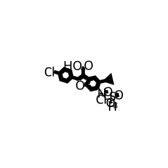 CN(O[SH](=O)=O)c1cc2oc(-c3ccc(Cl)cc3)c(C(=O)O)c2cc1C1CC1